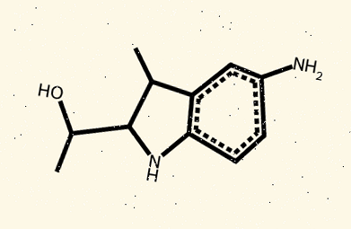 CC(O)C1Nc2ccc(N)cc2C1C